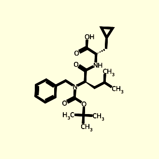 CC(C)C[C@H](C(=O)N[C@@H](CC1CC1)C(=O)O)N(Cc1ccccc1)C(=O)OC(C)(C)C